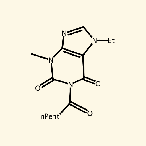 CCCCCC(=O)n1c(=O)c2c(ncn2CC)n(C)c1=O